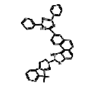 CC1(C)C2=CC(C3Nc4c(ccc5ccc6cc(C7=NC(c8ccccc8)=NC(c8ccccc8)N7)ccc6c45)S3)CC=C2c2ccccc21